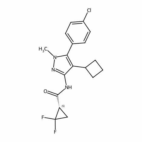 Cn1nc(NC(=O)[C@@H]2CC2(F)F)c(C2CCC2)c1-c1ccc(Cl)cc1